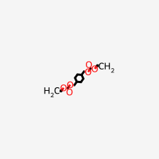 C=COC(=O)OCC1CCC(COC(=O)OC=C)CC1